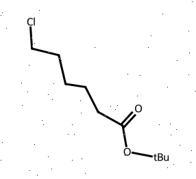 CC(C)(C)OC(=O)CCCCCCl